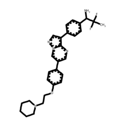 CC(F)(F)C(N)c1ccc(-c2cnn3cc(-c4ccc(OCCN5CCCCC5)cc4)cnc23)cc1